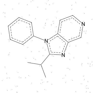 CC(C)c1nc2cnccc2n1-c1ccccc1